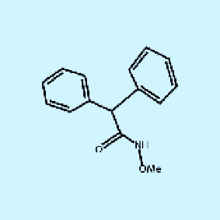 CONC(=O)C(c1ccccc1)c1ccccc1